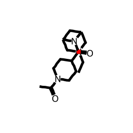 CCN1CC2CC(C1)N2C(=O)C1CCN(C(C)=O)CC1